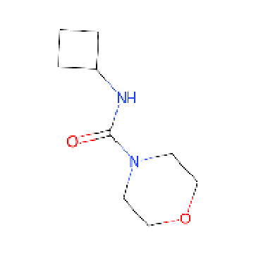 O=C(NC1CCC1)N1CCOCC1